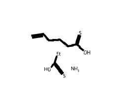 C=CCCCC(O)=S.CCC(O)=S.N